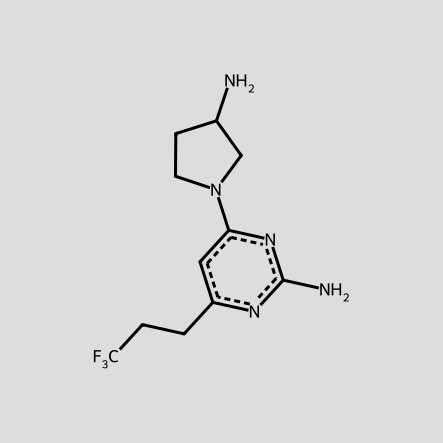 Nc1nc(CCC(F)(F)F)cc(N2CCC(N)C2)n1